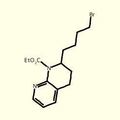 CCOC(=O)N1c2ncccc2CCC1CCCCBr